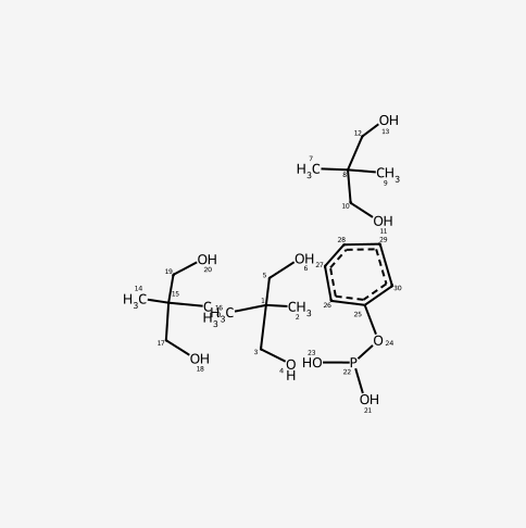 CC(C)(CO)CO.CC(C)(CO)CO.CC(C)(CO)CO.OP(O)Oc1ccccc1